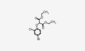 CCOC(=O)C(Oc1ccc(Br)cc1Cl)C(=O)OCC